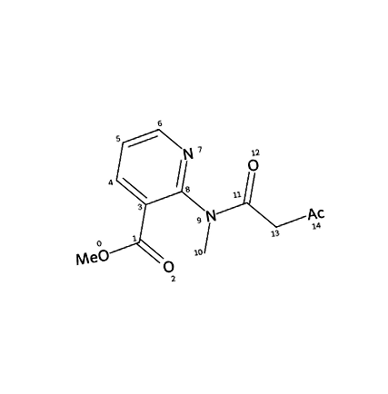 COC(=O)c1cccnc1N(C)C(=O)CC(C)=O